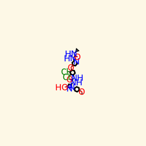 COc1ccc(-n2nc(O)cc2NC(=O)Nc2ccc(Oc3ccnc(NC(=O)NC4CC4)c3)c(Cl)c2Cl)cc1